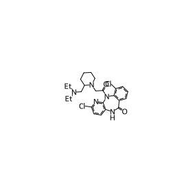 CCN(CC)CC1CCCCN1CC(=O)N1c2nc(Cl)ccc2NC(=O)c2cccc(Cl)c21